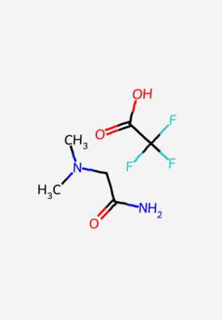 CN(C)CC(N)=O.O=C(O)C(F)(F)F